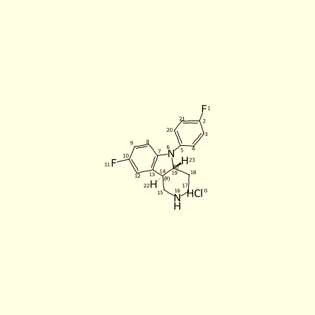 Cl.Fc1ccc(N2c3ccc(F)cc3[C@@H]3CNCC[C@H]32)cc1